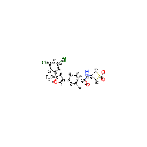 Cc1cc(C2=COC(c3cc(Cl)cc(Cl)c3)(C(F)(F)F)C2)ccc1C(=O)NC1CS(=O)(=O)C1